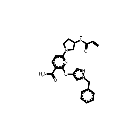 C=CC(=O)NC1CCN(c2ccc(C(N)=O)c(Oc3cnn(Cc4ccccc4)c3)n2)C1